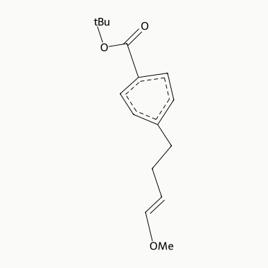 COC=CCCc1ccc(C(=O)OC(C)(C)C)cc1